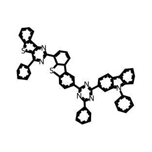 C1=CC2c3cc(-c4nc(-c5ccccc5)nc(-c5ccc6c7ccccc7n(-c7ccccc7)c6c5)n4)ccc3SC2C(c2nc(-c3ccccc3)c3sc4ccccc4c3n2)=C1